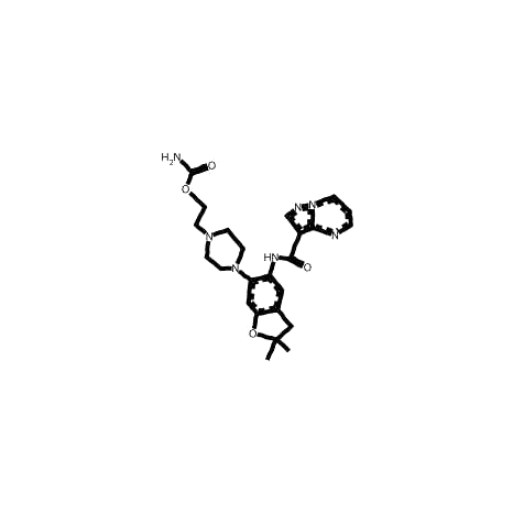 CC1(C)Cc2cc(NC(=O)c3cnn4cccnc34)c(N3CCN(CCOC(N)=O)CC3)cc2O1